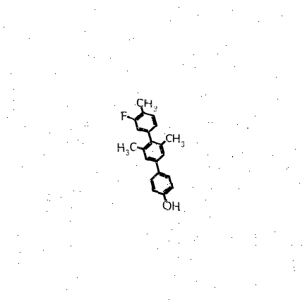 Cc1ccc(-c2c(C)cc(-c3ccc(O)cc3)cc2C)cc1F